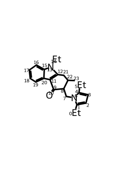 CCc1ccc(CC)n1CC1C(=O)c2c(n(CC)c3ccccc23)CC1C